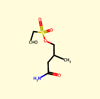 CC(COS(=O)(=O)CC=O)CC(N)=O